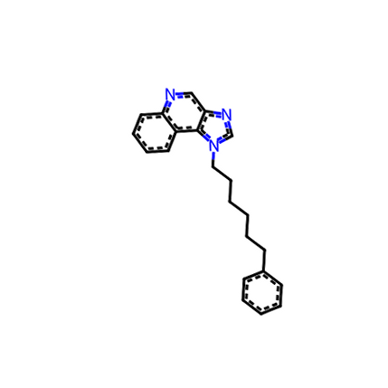 c1ccc(CCCCCCn2cnc3cnc4ccccc4c32)cc1